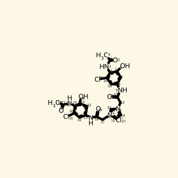 CC(=O)Nc1c(O)cc(NC(=O)Cn2cc[n+](CC(=O)Nc3cc(O)c(NC(C)=O)c(Cl)c3)c2)cc1Cl.[Cl-]